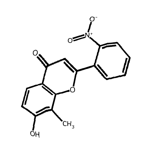 Cc1c(O)ccc2c(=O)cc(-c3ccccc3[N+](=O)[O-])oc12